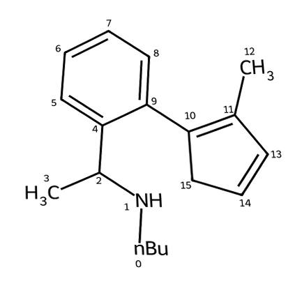 CCCCNC(C)c1ccccc1C1=C(C)C=CC1